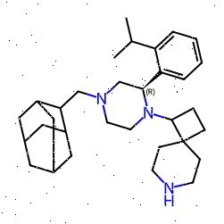 CC(C)c1ccccc1[C@@H]1CN(CC2C3CC4CC(C3)CC2C4)CCN1C1CCC12CCNCC2